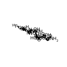 NC(=O)c1ccc[n+](C2OC(COP(=O)(O)OP(=O)(O)OCC3OC(n4cnc5c(NCc6cn(COCC[18F])nn6)ncnc54)C(O)C3O)C(O)C2O)c1